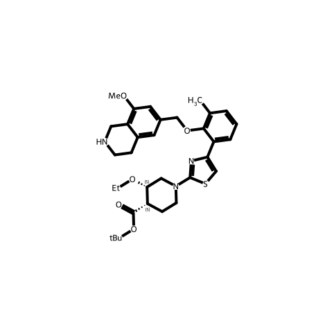 CCO[C@@H]1CN(c2nc(-c3cccc(C)c3OCc3cc4c(c(OC)c3)CNCC4)cs2)CC[C@@H]1C(=O)OC(C)(C)C